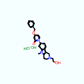 Cl.Cl.Cn1c2c(c3ccc(-n4ccc(OCc5ccccc5)cc4=O)cc31)CN(CCO)CC2